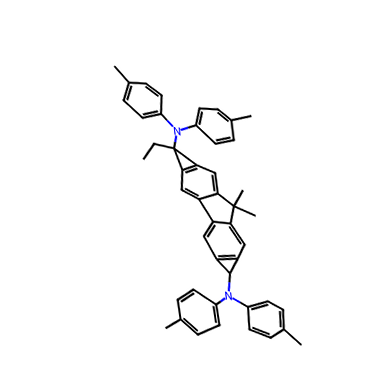 CCC1(N(c2ccc(C)cc2)c2ccc(C)cc2)c2cc3c(cc21)C(C)(C)c1cc2c(cc1-3)C2N(c1ccc(C)cc1)c1ccc(C)cc1